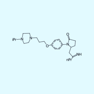 CCCC(=N)CC1CCC(=O)N1c1ccc(OCCCN2CCN(C(C)C)CC2)cc1